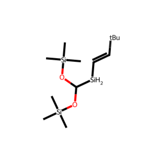 CC(C)(C)/C=C/[SiH2]C(O[Si](C)(C)C)O[Si](C)(C)C